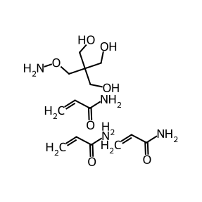 C=CC(N)=O.C=CC(N)=O.C=CC(N)=O.NOCC(CO)(CO)CO